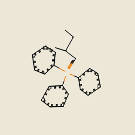 CCC(C)C=P(c1ccccc1)(c1ccccc1)c1ccccc1